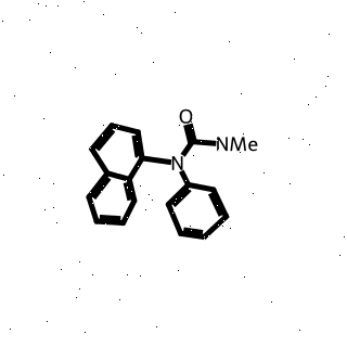 CNC(=O)N(c1ccccc1)c1cccc2ccccc12